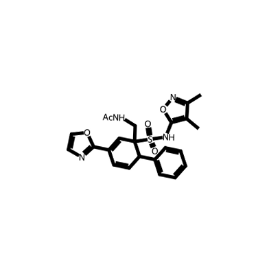 CC(=O)NCC1(S(=O)(=O)Nc2onc(C)c2C)C=C(c2ncco2)C=CC1c1ccccc1